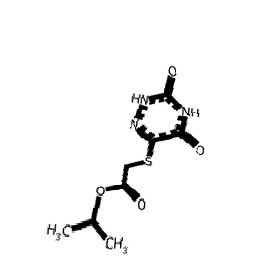 CC(C)OC(=O)CSc1n[nH]c(=O)[nH]c1=O